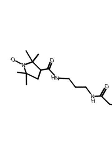 CC1(C)CC(C(=O)NCCCNC(=O)CBr)C(C)(C)N1[O]